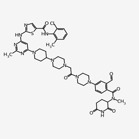 Cc1nc(Nc2ncc(C(=O)Nc3c(C)cccc3Cl)s2)cc(N2CCC(N3CCN(CC(=O)N4CCN(c5ccc(C(=O)N(C)C6CCC(=O)NC6=O)c(C=O)c5)CC4)CC3)CC2)n1